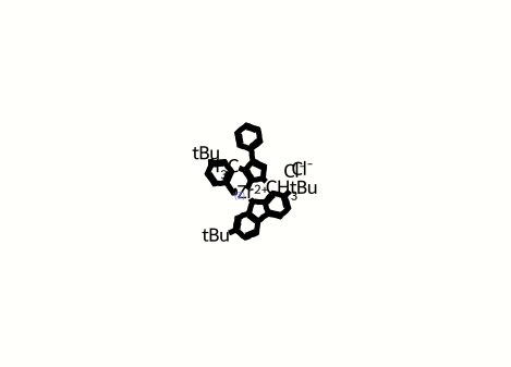 CC1=[C](/[Zr+2](=[CH]\c2ccc(C(C)(C)C)cc2)[CH]2c3cc(C(C)(C)C)ccc3-c3ccc(C(C)(C)C)cc32)C(C)C=C1c1ccccc1.[Cl-].[Cl-]